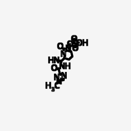 Cn1cnc(C(=O)NC(=N)C2CCC3CN2C(=O)N3OS(=O)(=O)O)n1